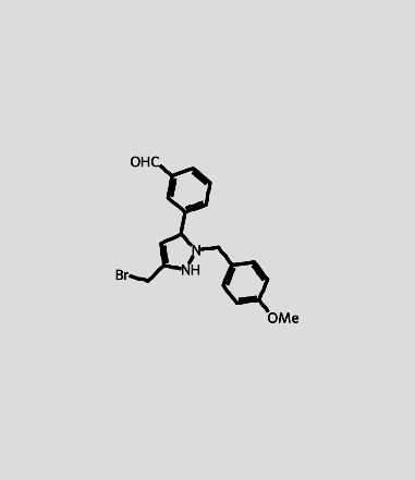 COc1ccc(CN2NC(CBr)=CC2c2cccc(C=O)c2)cc1